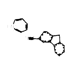 C1=CC=CNC=C1.N#Cc1ccc2c(c1)-c1ccccc1C2